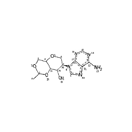 CC1OCC2OC[C@@H](n3cnc4c(N)ncnc43)C(O)C2O1